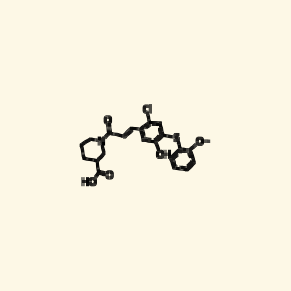 COc1ccccc1Sc1cc(Cl)c(C=CC(=O)N2CCCC(C(=O)O)C2)cc1O